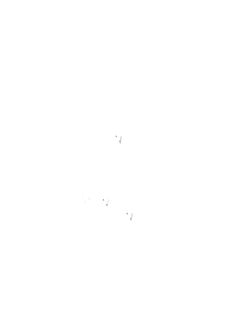 On1cnc2ccc(-c3ccccn3)cc21